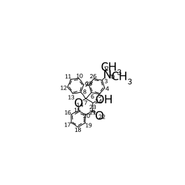 CN(C)c1ccc(C2(c3ccccc3)Oc3ccccc3C(=O)C2O)cc1